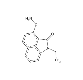 NOc1ccc2cccc3c2c1C(=O)N3CC(F)(F)F